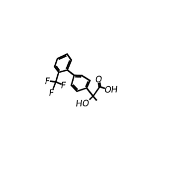 CC(O)(C(=O)O)c1ccc(-c2ccccc2C(F)(F)F)cc1